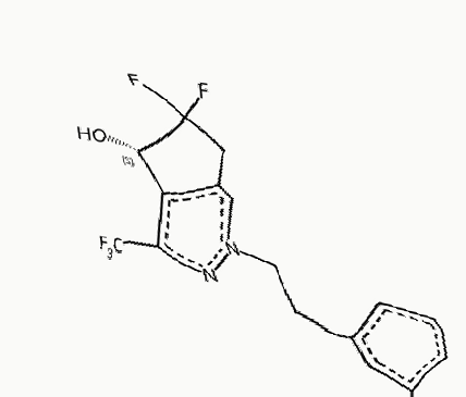 O[C@H]1c2c(C(F)(F)F)nn(CCc3ccccc3)c2CC1(F)F